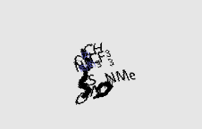 C\C=C/C(=C\C(=N/C)c1ccc(C(=O)N2CCC[C@@H](NC)C2)s1)C(F)(F)F